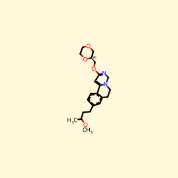 COC(C)CCc1ccc2c(c1)CCN1CN=C(OC[C@@H]3COCCO3)C=C21